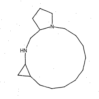 C1CCCCC2CC2NCC2CCCN2CCCC1